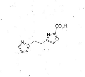 O=C(O)c1nc(CCn2cccn2)co1